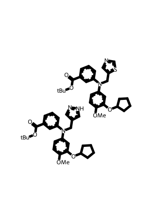 COc1ccc(N(Cc2cn[nH]c2)c2cccc(C(=O)OC(C)(C)C)c2)cc1OC1CCCC1.COc1ccc(N(Cc2cncs2)c2cccc(C(=O)OC(C)(C)C)c2)cc1OC1CCCC1